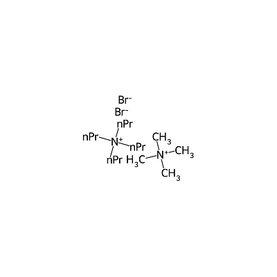 CCC[N+](CCC)(CCC)CCC.C[N+](C)(C)C.[Br-].[Br-]